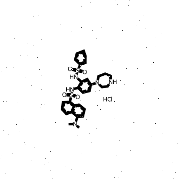 CN(C)c1cccc2c(S(=O)(=O)Nc3ccc(N4CCCNCC4)cc3NS(=O)(=O)c3ccccc3)cccc12.Cl